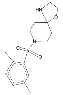 Cc1ccc(C)c(S(=O)(=O)N2CCC3(CC2)NCCO3)c1